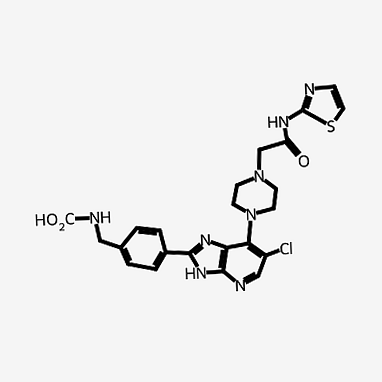 O=C(O)NCc1ccc(-c2nc3c(N4CCN(CC(=O)Nc5nccs5)CC4)c(Cl)cnc3[nH]2)cc1